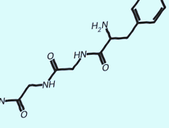 NC(=O)CNC(=O)CNC(=O)C(N)Cc1ccccc1